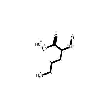 CCN[C@@H](CCCN)C(N)=O.Cl